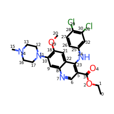 CCOC(=O)c1cnc2cc(N3CCN(C)CC3)c(OC)cc2c1Nc1ccc(Cl)c(Cl)c1